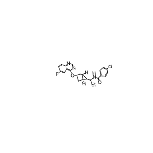 CCC(NC(=O)c1ccc(Cl)cc1)[C@H]1[C@@H]2C[C@@H](Oc3ncnc4ccc(F)cc34)C[C@@H]21